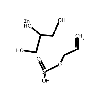 C=CCO[Si](=O)O.OCC(O)CO.[Zn]